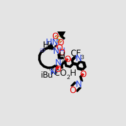 CCC(C)N(C(=O)O)[C@H]1CCCCC/C=C\[C@@H]2C[C@@]2(C(=O)NS(=O)(=O)C2(C)CC2)NC(=O)[C@@H]2C[C@]3(CCc4c(c(C(F)(F)F)nc5ccc(OCCN6CCOCC6)cc45)O3)C(C)N2C1=O